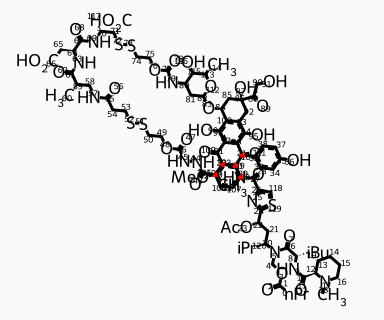 CCCC(=O)OCN(C(=O)[C@@H](NC(=O)[C@H]1CCCCN1C)C(C)CC)[C@H](C[C@@H](OC(C)=O)c1nc(C(=O)N[C@@H](Cc2ccc(O)cc2)C[C@H](C)C(=O)NNC(=O)OCCSSCCC(=O)NC[C@H](C)C(=O)N[C@@H](CC(=O)O)C(=O)N[C@@H](CSSCCOC(=O)NC2CC(O[C@H]3C[C@](O)(C(=O)CO)Cc4c(O)c5c(c(O)c43)C(=O)c3c(OC)cccc3C5=O)OC(C)C2O)C(=O)O)cs1)C(C)C